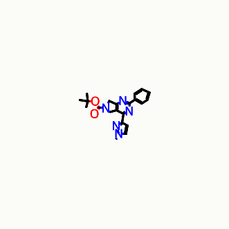 Cn1ccc(-c2nc(-c3ccccc3)nc3c2CN(C(=O)OC(C)(C)C)C3)n1